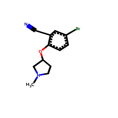 CN1CCC(Oc2ccc(Br)cc2C#N)C1